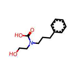 O=C(O)N(CCO)CCCc1ccccc1